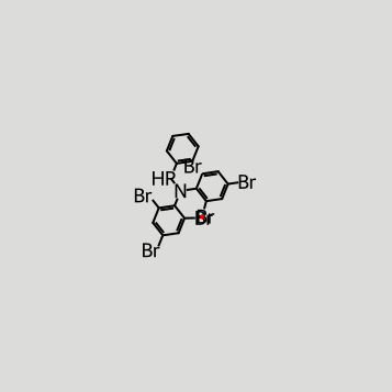 Brc1cc(Br)c(N(Pc2ccccc2)c2c(Br)cc(Br)cc2Br)c(Br)c1